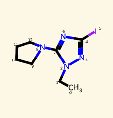 CCn1nc(I)nc1N1CCCC1